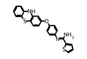 N/C(=N\c1ccc(Oc2ccc3c(c2)Nc2ccccc2S3)cc1)c1cccs1